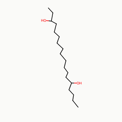 CCCCC(O)CCCCCCCCCCC(O)CC